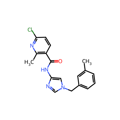 Cc1cccc(Cn2cnc(NC(=O)c3ccc(Cl)nc3C)c2)c1